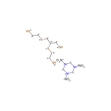 O=[N+]([O-])N1CN([N+](=O)[O-])CN([N+](=O)[O-])C1.SCCSCC(CS)SCCS